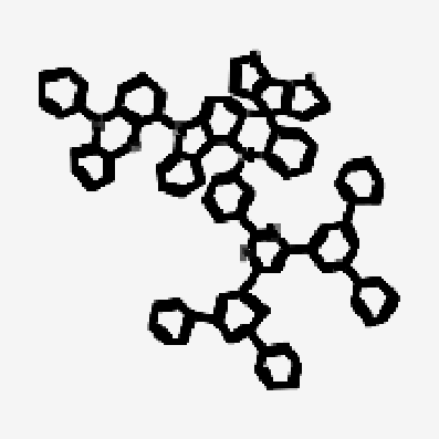 c1ccc(-c2cc(-c3ccccc3)cc(-c3cc(-c4cc(-c5ccccc5)cc(-c5ccccc5)c4)nc(-c4cccc(N5c6ccccc6C6(c7ccsc7-c7sccc76)c6ccc7c(c65)c5ccccc5n7-c5cccc6c5Sc5ccccc5N6c5ccccc5)c4)n3)c2)cc1